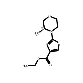 CCOC(=O)c1csc(N2CCOC[C@@H]2C)n1